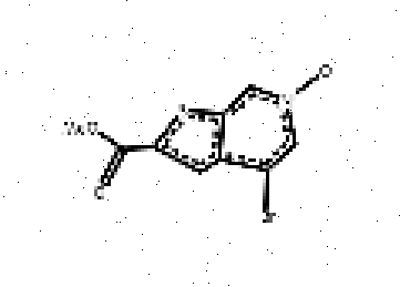 COC(=O)c1cc2c(Br)c[n+]([O-])cc2s1